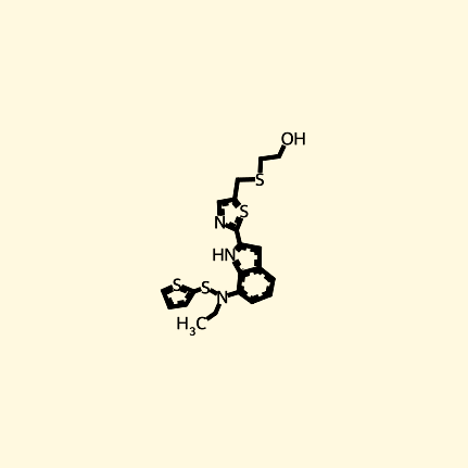 CCN(Sc1cccs1)c1cccc2cc(-c3ncc(CSCCO)s3)[nH]c12